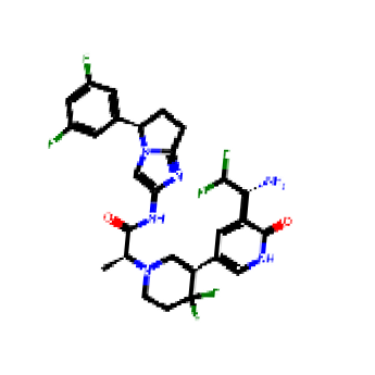 C[C@@H](C(=O)Nc1cn2c(n1)CC[C@@H]2c1cc(F)cc(F)c1)N1CCC(F)(F)[C@H](c2c[nH]c(=O)c([C@@H](N)C(F)F)c2)C1